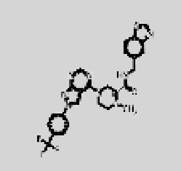 CN1CCN(c2ncnc3nn(-c4ccc(C(F)(F)F)cc4)cc23)C[C@@H]1C(=O)NCc1ccc2scnc2c1